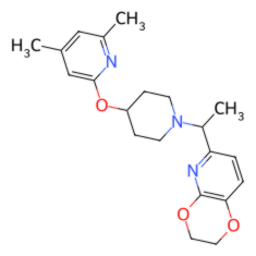 Cc1cc(C)nc(OC2CCN(C(C)c3ccc4c(n3)OCCO4)CC2)c1